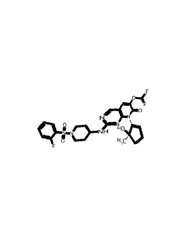 C[C@@]1(O)CCC[C@H]1n1c(=O)c(OC(F)F)cc2cnc(NC3CCN(S(=O)(=O)c4ccccc4F)CC3)nc21